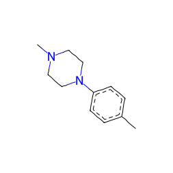 Cc1ccc(N2CCN(C)CC2)cc1